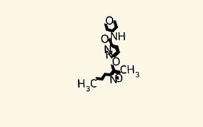 CCCCc1noc(C)c1COc1ccc(C(=O)NC2CCOCC2)nn1